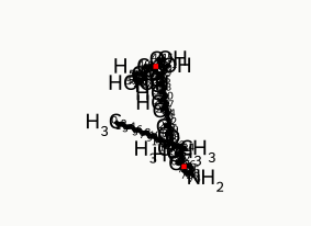 C/C=C/C=C/C=C/C=C/C=C/C=C/C(C)C(OC(=O)CC(=O)CCCC(=O)CC(O)CC(O)CC(O)CC1(O)CC(O)C(C(=O)O)C(CC(C)O[C@@H]2OC[C@@H](O)C[C@@H]2O)O1)C(C)CC(C)C(O)CC(=O)c1ccc(N)cc1